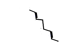 C/C=C/[C@H](O)C/C=C/C(=O)OCC